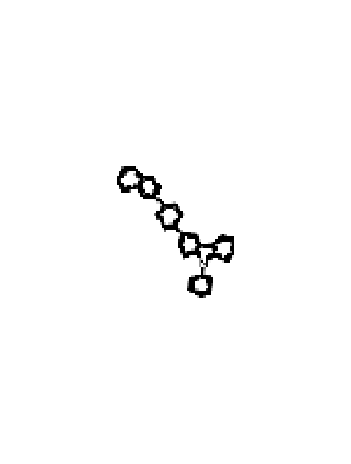 c1ccc(-n2c3ccccc3c3cc(-c4ccc(-c5ccc6ccccc6c5)cc4)ccc32)cc1